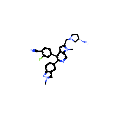 Cn1cc2cc(-c3ncc4c(cc(CN5CC[C@H](N)C5)n4C)c3-c3ccc(C#N)c(F)c3)ccc2n1